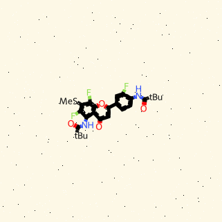 CSc1c(F)c(NC(=O)C(C)(C)C)c2c(=O)cc(-c3ccc(NC(=O)C(C)(C)C)c(F)c3)oc2c1F